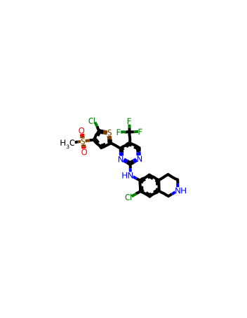 CS(=O)(=O)c1cc(-c2nc(Nc3cc4c(cc3Cl)CNCC4)ncc2C(F)(F)F)sc1Cl